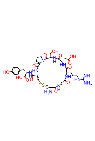 N=C(N)NCCC[C@@H]1NC(=O)CNC(=O)[C@H](N)CSSC[C@@H](C(=O)N[C@@H](Cc2ccc(O)cc2)C(=O)O)NC(=O)[C@@H]2CCCN2C(=O)[C@H](CO)NC(=O)[C@H](CC(=O)O)NC1=O